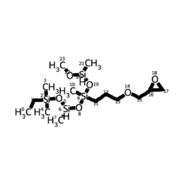 CC[Si](C)(C)O[SiH](C)O[Si](C)(CCCOCC1CO1)O[SiH](C)OC